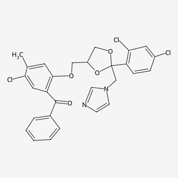 Cc1cc(OCC2COC(Cn3ccnc3)(c3ccc(Cl)cc3Cl)O2)c(C(=O)c2ccccc2)cc1Cl